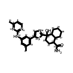 Cc1cc(Nc2nccc(C)n2)cc(-c2cnc(C3(O)CCC(C(N)=O)C4CCCCC43)s2)c1